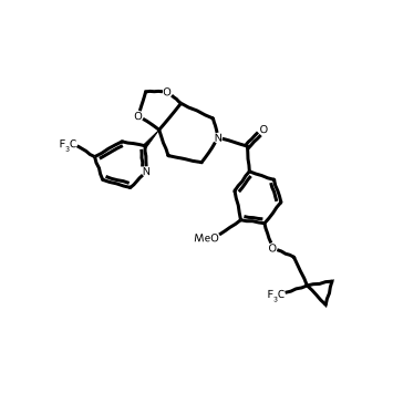 COc1cc(C(=O)N2CC[C@]3(c4cc(C(F)(F)F)ccn4)OCOC3C2)ccc1OCC1(C(F)(F)F)CC1